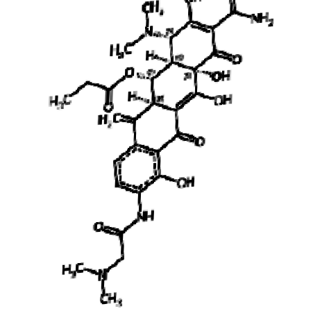 C=C1c2ccc(NC(=O)CN(C)C)c(O)c2C(=O)C2=C(O)[C@]3(O)C(=O)C(C(N)=O)=C(O)[C@@H](N(C)C)[C@@H]3[C@@H](OC(=O)CC)[C@H]12